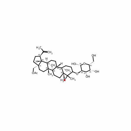 C=C(C)[C@@H]1CC[C@]2(COC(C)=O)CC[C@]3(C)[C@H](CC[C@@H]4[C@@]5(C)CCC(O[C@@H]6[C@@H](O)[C@@H](O)[C@@H](CO)O[C@H]6O)C(C)(C)[C@@H]5CC[C@]43C)[C@@H]12